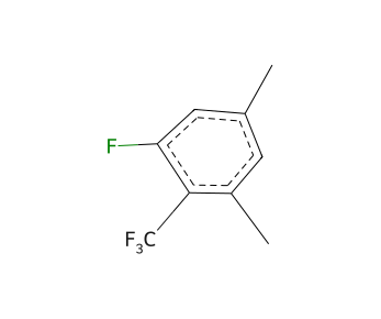 Cc1cc(C)c(C(F)(F)F)c(F)c1